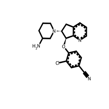 N#Cc1ccc(O[C@@H]2c3ncccc3C[C@H]2N2CCCC(N)C2)c(Cl)c1